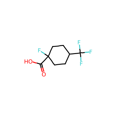 O=C(O)C1(F)CCC(C(F)(F)F)CC1